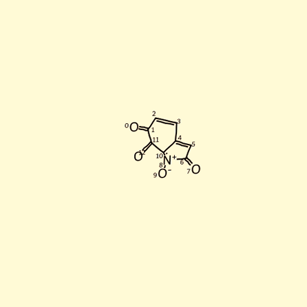 O=c1ccc2cc(=O)[n+]([O-])c-2c1=O